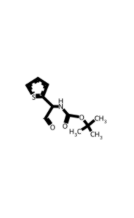 CC(C)(C)OC(=O)NC([C]=O)c1cccs1